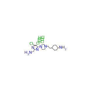 Cl.Cl.Cl.NCc1nc(Cl)c(Cl)c(N2CCN(CCC3CCC(N)CC3)CC2)n1